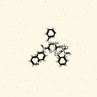 CN(C(=O)[C@H](Cc1ccccc1)NC(=O)NS(=O)(=O)N(C)c1ccccc1Cl)c1ccc2ncccc2c1